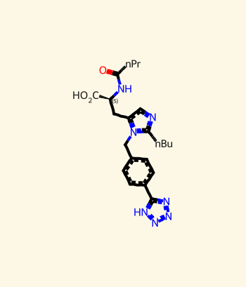 CCCCc1ncc(C[C@H](NC(=O)CCC)C(=O)O)n1Cc1ccc(-c2nnn[nH]2)cc1